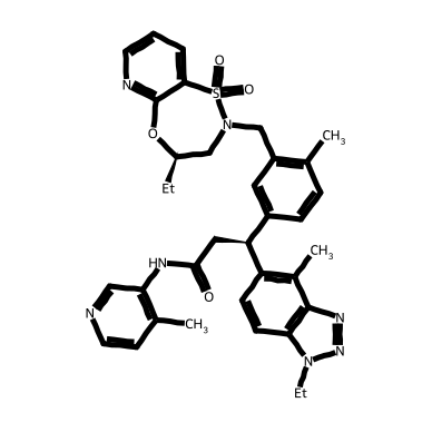 CC[C@@H]1CN(Cc2cc([C@H](CC(=O)Nc3cnccc3C)c3ccc4c(nnn4CC)c3C)ccc2C)S(=O)(=O)c2cccnc2O1